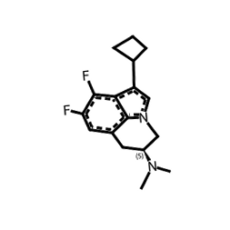 CN(C)[C@H]1Cc2cc(F)c(F)c3c(C4CCC4)cn(c23)C1